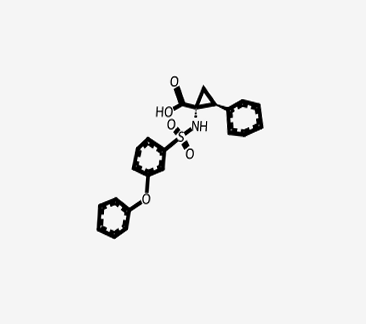 O=C(O)[C@@]1(NS(=O)(=O)c2cccc(Oc3ccccc3)c2)C[C@H]1c1ccccc1